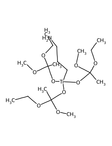 CCOC(C)(OC)[O][Ti]([CH2]CCN)([O]C(C)(OC)OCC)[O]C(C)(OC)OCC